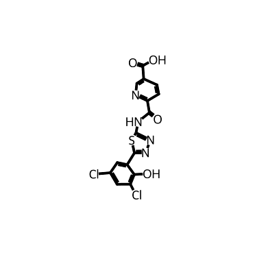 O=C(O)c1ccc(C(=O)Nc2nnc(-c3cc(Cl)cc(Cl)c3O)s2)nc1